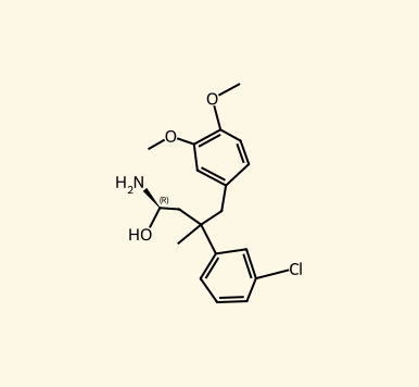 COc1ccc(CC(C)(C[C@H](N)O)c2cccc(Cl)c2)cc1OC